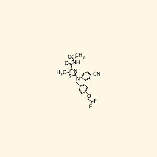 Cc1sc(N(Cc2ccc(OCC(F)F)cc2)c2ccc(C#N)cc2)nc1C(=O)N[S+](C)[O-]